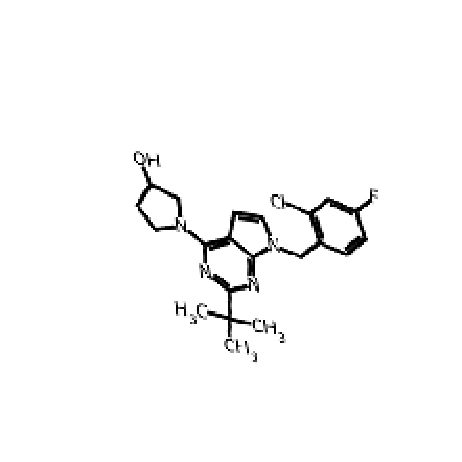 CC(C)(C)c1nc(N2CCC(O)C2)c2ccn(Cc3ccc(F)cc3Cl)c2n1